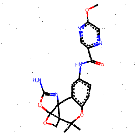 COc1cnc(C(=O)Nc2ccc3c(c2)C24N=C(N)OC25OCC54C(C)(C)O3)cn1